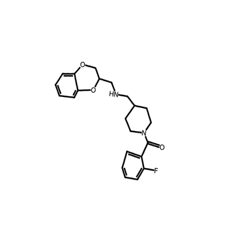 O=C(c1ccccc1F)N1CCC(CNCC2COc3ccccc3O2)CC1